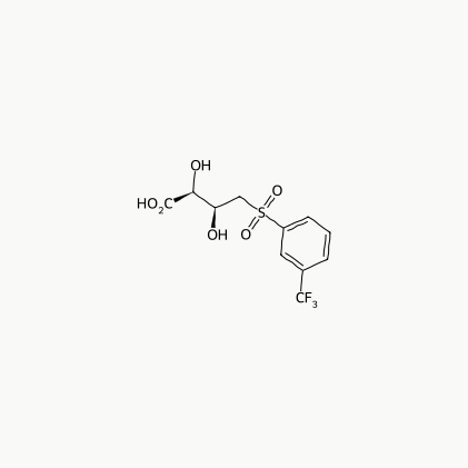 O=C(O)[C@@H](O)[C@H](O)CS(=O)(=O)c1cccc(C(F)(F)F)c1